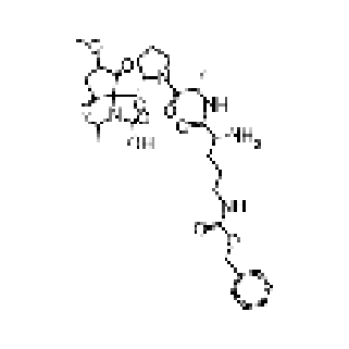 COC1CC(=O)C(C(=O)[C@@H]2CCCN2C(=O)[C@H](C)NC(=O)[C@@H](N)CCCNC(=O)OCc2ccccc2)(N(C(=O)O)C(C)C)C1=O